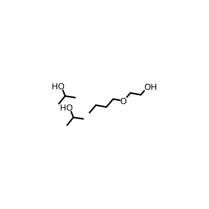 CC(C)O.CC(C)O.CCCCOCCO